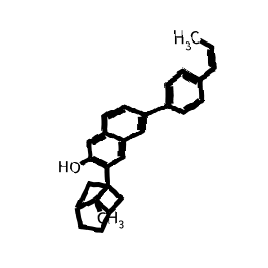 C/C=C\c1ccc(-c2ccc3cc(O)c(C45CC6CCC(C4)C65C)cc3c2)cc1